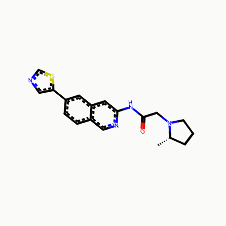 C[C@H]1CCCN1CC(=O)Nc1cc2cc(-c3cncs3)ccc2cn1